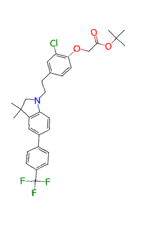 CC(C)(C)OC(=O)COc1ccc(CCN2CC(C)(C)c3cc(-c4ccc(C(F)(F)F)cc4)ccc32)cc1Cl